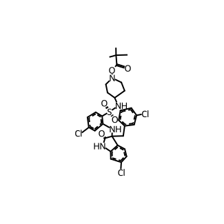 CC(C)(C)C(=O)ON1CCC(NS(=O)(=O)c2ccc(Cl)cc2NC2(Cc3cccc(Cl)c3)C(=O)Nc3cc(Cl)ccc32)CC1